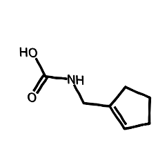 O=C(O)NCC1=CCCC1